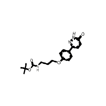 CC(C)(C)OC(=O)NCCCOc1ccc(-c2ccc(=O)[nH]n2)cc1